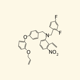 C=CCOc1cccc(Oc2ccc(CN(Cc3ccc(F)cc3F)c3cccc([N+](=O)[O-])c3C=C)cc2)c1